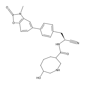 Cn1c(=O)oc2ccc(-c3ccc(C[C@@H](C#N)NC(=O)C4CCCC(O)CNC4)cc3)cc21